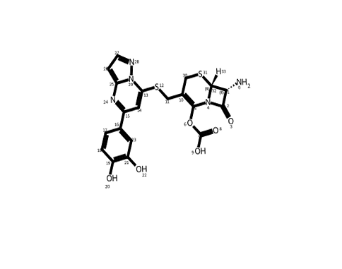 N[C@@H]1C(=O)N2C(OC(=O)O)=C(CSc3cc(-c4ccc(O)c(O)c4)nc4ccnn34)CS[C@H]12